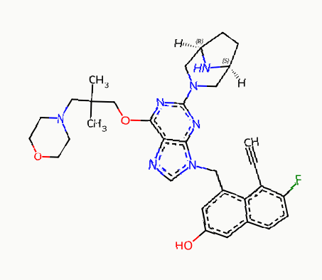 C#Cc1c(F)ccc2cc(O)cc(Cn3cnc4c(OCC(C)(C)CN5CCOCC5)nc(N5C[C@H]6CC[C@@H](C5)N6)nc43)c12